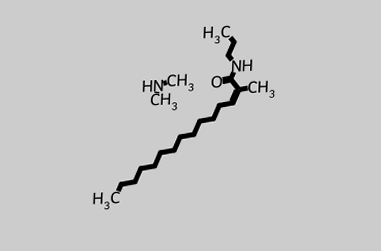 CCCCCCCCCCCCC=C(C)C(=O)NCCC.CNC